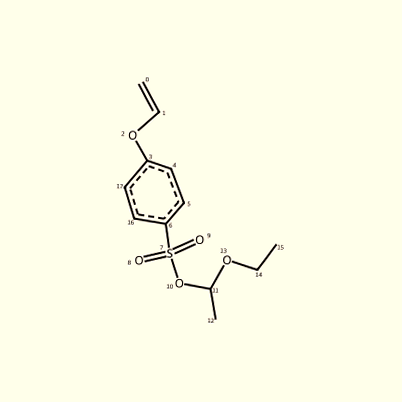 C=COc1ccc(S(=O)(=O)OC(C)OCC)cc1